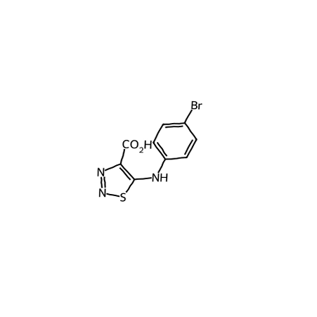 O=C(O)c1nnsc1Nc1ccc(Br)cc1